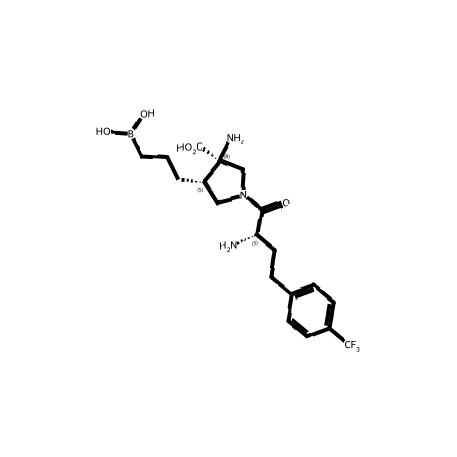 N[C@@H](CCc1ccc(C(F)(F)F)cc1)C(=O)N1C[C@H](CCCB(O)O)[C@](N)(C(=O)O)C1